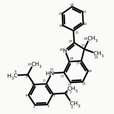 CC(C)c1cccc(C(C)C)c1Nc1cccc2c1N=C(c1ccccc1)C2(C)C